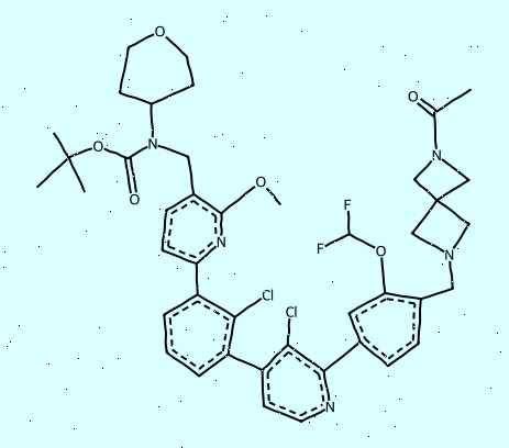 COc1nc(-c2cccc(-c3ccnc(-c4ccc(CN5CC6(C5)CN(C(C)=O)C6)c(OC(F)F)c4)c3Cl)c2Cl)ccc1CN(C(=O)OC(C)(C)C)C1CCOCC1